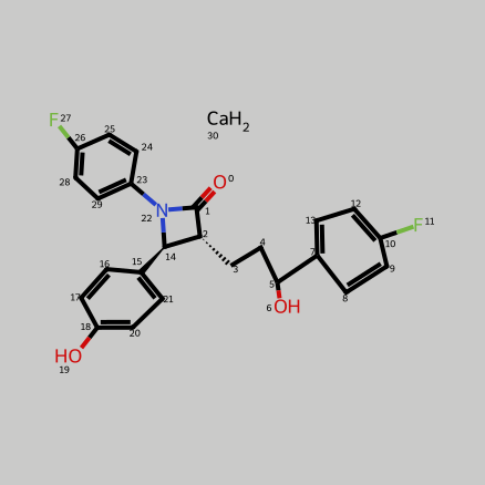 O=C1[C@H](CCC(O)c2ccc(F)cc2)[C@@H](c2ccc(O)cc2)N1c1ccc(F)cc1.[CaH2]